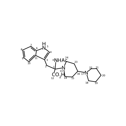 CC(=O)NC(Cc1c[nH]c2ccccc12)(C(=O)O)N1CCC(N2CCCCC2)CC1